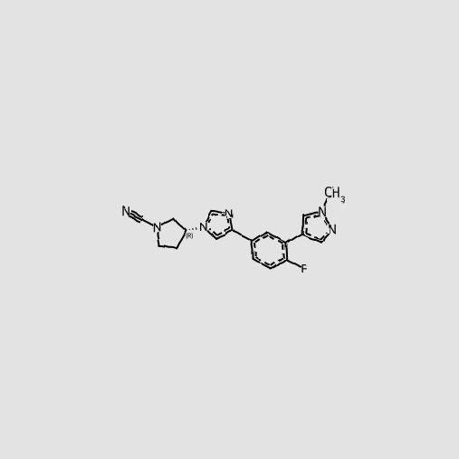 Cn1cc(-c2cc(-c3cn([C@@H]4CCN(C#N)C4)cn3)ccc2F)cn1